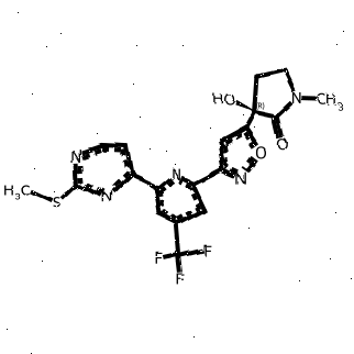 CSc1nccc(-c2cc(C(F)(F)F)cc(-c3cc([C@]4(O)CCN(C)C4=O)on3)n2)n1